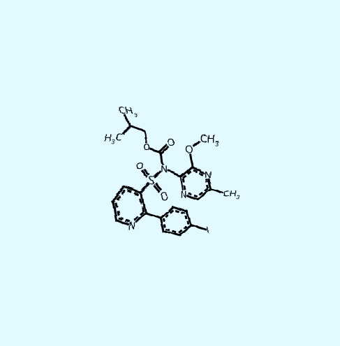 COc1nc(C)cnc1N(C(=O)OCC(C)C)S(=O)(=O)c1cccnc1-c1ccc(I)cc1